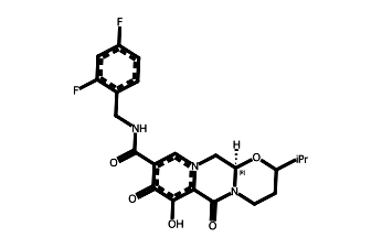 CC(C)C1CCN2C(=O)c3c(O)c(=O)c(C(=O)NCc4ccc(F)cc4F)cn3C[C@H]2O1